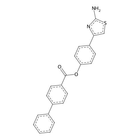 Nc1nc(-c2ccc(OC(=O)c3ccc(-c4ccccc4)cc3)cc2)cs1